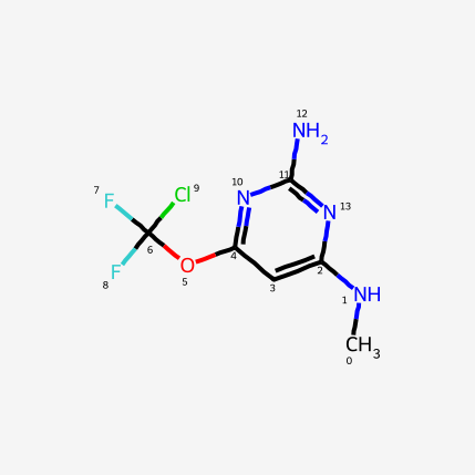 CNc1cc(OC(F)(F)Cl)nc(N)n1